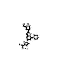 C\C=C/C(=C\C=C\CC)c1cc2nc(N3C=CC(C(CC)CCCCCC)N3)cc(N3CCOCC3)n2n1